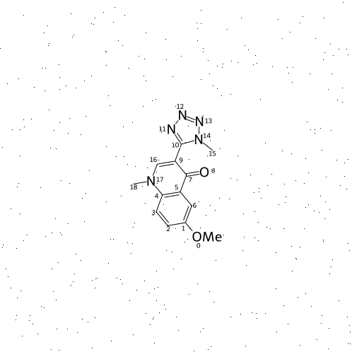 COc1ccc2c(c1)c(=O)c(-c1nnnn1C)cn2C